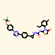 CCc1ccc(C)cc1N1C(=O)CSC1=NC(=O)NC1CC1c1ccc(-c2ncn(-c3ccc(OC(F)(F)F)cc3)n2)cc1